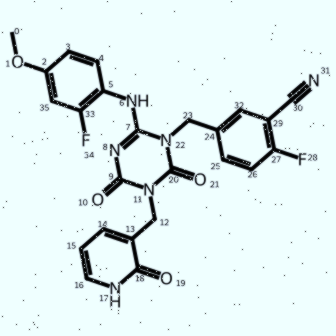 COc1ccc(Nc2nc(=O)n(Cc3ccc[nH]c3=O)c(=O)n2Cc2ccc(F)c(C#N)c2)c(F)c1